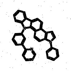 c1ccc(-n2ccc3c4ccc5c6ccccc6n(-c6cccc(-c7ccccn7)c6)c5c4ccc32)cc1